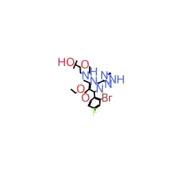 CCOC(=O)C1=C(CN2CCOC(C(C)(C)O)C2)NC(c2nc[nH]n2)=NC1c1ccc(F)cc1Br